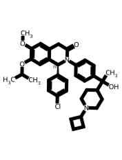 COc1cc2c(cc1OC(C)C)[C@H](c1ccc(Cl)cc1)N(c1ccc(C(C)(O)C3CCN(C4CCC4)CC3)cc1)C(=O)C2